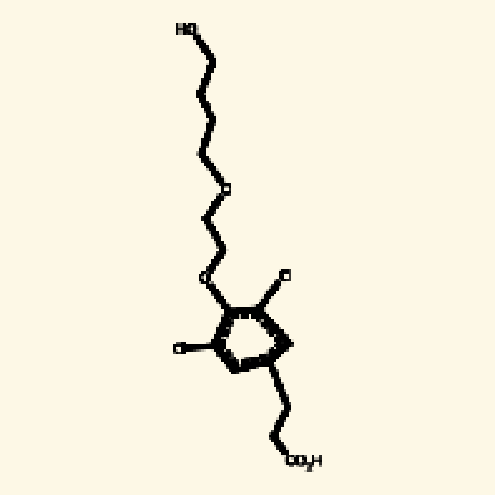 O=C(O)CCc1cc(Cl)c(OCCOCCCCO)c(Cl)c1